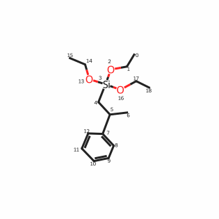 CCO[Si](CC(C)c1ccccc1)(OCC)OCC